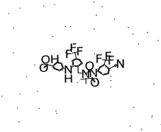 CC1(C)C(=O)N(c2ccc(C#N)c(C(F)(F)F)c2)C(=O)N1Cc1ccc(C(F)(F)F)cc1Nc1ccc(C(=O)O)cc1